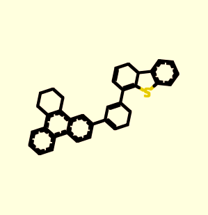 C1=CC(C2=CC(c3ccc4c(c3)c3c(c5ccccc54)CCCC3)=CCC2)=C2Sc3ccccc3C2C1